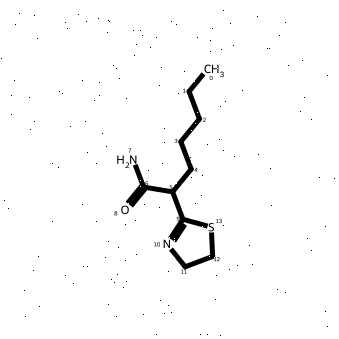 CCCCCC(C(N)=O)C1=NCCS1